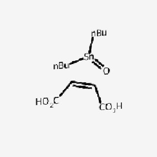 CCC[CH2][Sn](=[O])[CH2]CCC.O=C(O)/C=C\C(=O)O